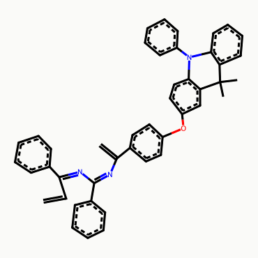 C=C/C(=N\C(=N/C(=C)c1ccc(Oc2ccc3c(c2)C(C)(C)c2ccccc2N3c2ccccc2)cc1)c1ccccc1)c1ccccc1